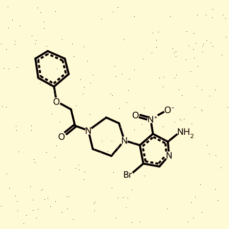 Nc1ncc(Br)c(N2CCN(C(=O)COc3ccccc3)CC2)c1[N+](=O)[O-]